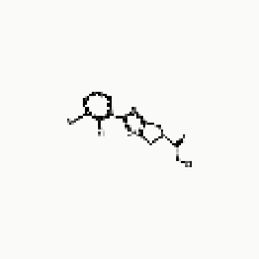 O=C(CCl)N1Cc2nc(-c3cccc(Br)c3Cl)oc2C1